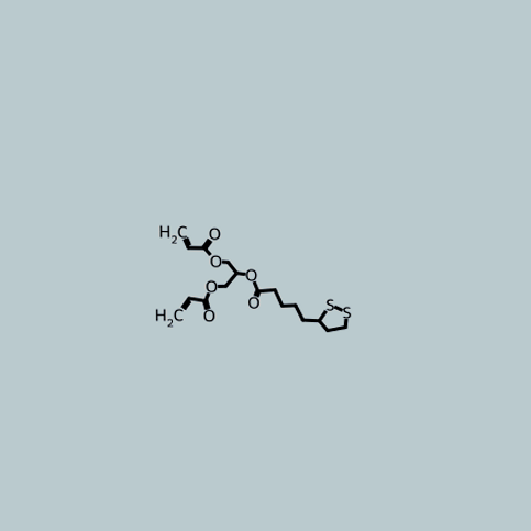 C=CC(=O)OCC(COC(=O)C=C)OC(=O)CCCCC1CCSS1